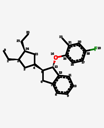 CC[C@@H]1CC([C@@H]2Cc3ccccc3[C@H]2Oc2ccc(F)cc2C)C[C@@H]1CC